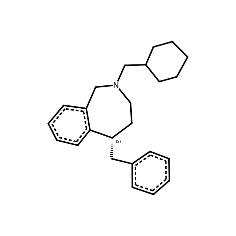 c1ccc(C[C@H]2CCN(CC3CCCCC3)Cc3ccccc32)cc1